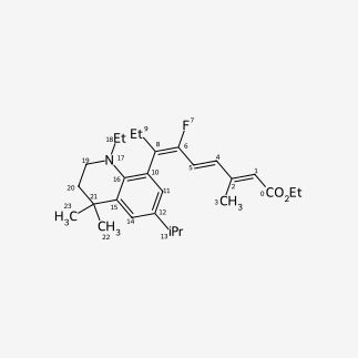 CCOC(=O)/C=C(C)/C=C/C(F)=C(/CC)c1cc(C(C)C)cc2c1N(CC)CCC2(C)C